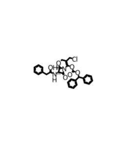 O=C(Cc1ccccc1)N[C@@H]1C(=O)N2C(OC(=O)OC(c3ccccc3)c3ccccc3)=C(CCl)CO[C@H]12